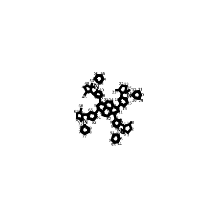 CC1CCC2(C)C1c1cc(-c3cc(-c4ccc5c(c4)C4C(C)CCC4(C)N5c4ccccc4)c4ccc5c(-c6ccc7c(c6)C6C(C)CCC6(C)N7c6ccccc6)cc(-c6ccc7c(c6)C6C(C)CCC6(C)N7c6ccccc6)c6ccc3c4c65)ccc1N2c1ccccc1